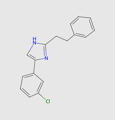 Clc1cccc(-c2c[nH]c(CCc3ccccc3)n2)c1